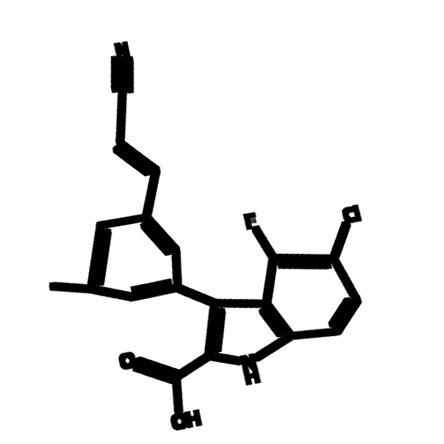 Cc1cc(/C=C/C#N)cc(-c2c(C(=O)O)[nH]c3ccc(Cl)c(F)c23)c1